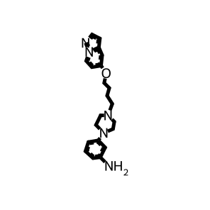 Nc1cccc(N2CCN(CCCCOc3ccn4nccc4c3)CC2)c1